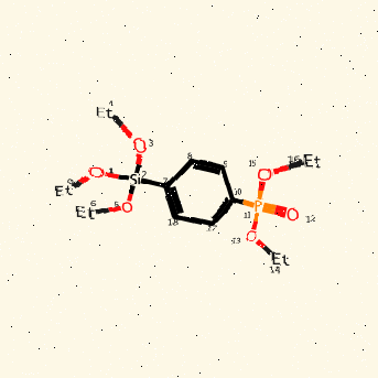 CCO[Si](OCC)(OCC)c1ccc(P(=O)(OCC)OCC)cc1